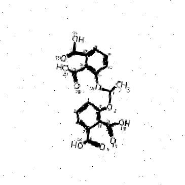 CC(Oc1cccc(C(=O)O)c1C(=O)O)Oc1cccc(C(=O)O)c1C(=O)O